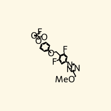 COCc1ncn(-c2cc(F)c(COc3ccc(OS(=O)(=O)F)cc3)c(F)c2)n1